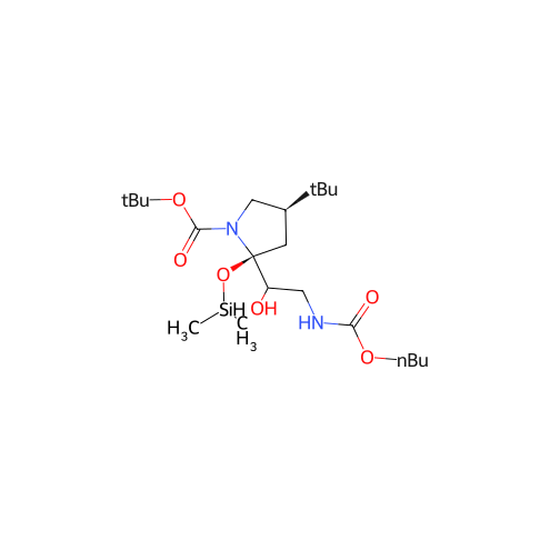 CCCCOC(=O)NCC(O)[C@@]1(O[SiH](C)C)C[C@H](C(C)(C)C)CN1C(=O)OC(C)(C)C